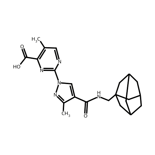 Cc1cnc(-n2cc(C(=O)NCC34CC5CC(CC(C5)C3)C4)c(C)n2)nc1C(=O)O